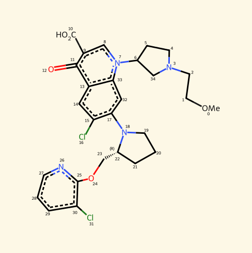 COCCN1CCC(n2cc(C(=O)O)c(=O)c3cc(Cl)c(N4CCC[C@@H]4COc4ncccc4Cl)cc32)C1